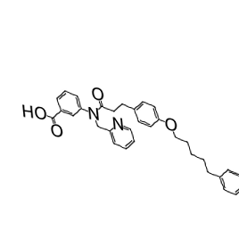 O=C(O)c1cccc(N(Cc2ccccn2)C(=O)CCc2ccc(OCCCCCc3ccccc3)cc2)c1